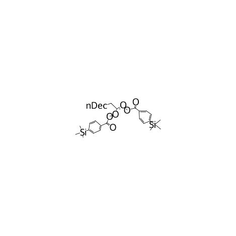 [CH2]CCCCCCCCCC[C](OOC(=O)c1ccc([Si](C)(C)C)cc1)OOC(=O)c1ccc([Si](C)(C)C)cc1